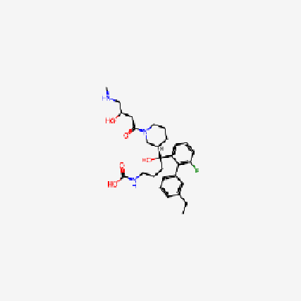 CCc1cccc(-c2c(F)cccc2C(O)(CCCNC(=O)O)[C@@H]2CCCN(C(=O)CC(O)CNC)C2)c1